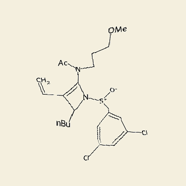 C=CC1=C(N(CCCOC)C(C)=O)N([S+]([O-])c2cc(Cl)cc(Cl)c2)C1CCCC